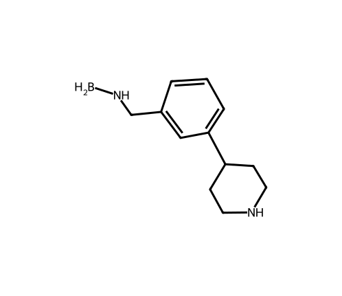 BNCc1cccc(C2CCNCC2)c1